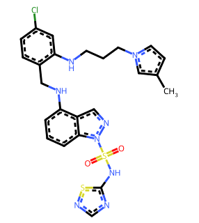 Cc1ccn(CCCNc2cc(Cl)ccc2CNc2cccc3c2cnn3S(=O)(=O)Nc2ncns2)c1